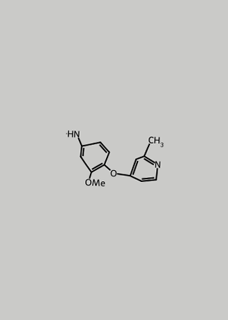 COc1cc([NH])ccc1Oc1ccnc(C)c1